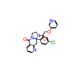 O=C(COc1cccnc1)N1CCN2C(=O)c3cccnc3CC12c1ccc(Cl)cc1